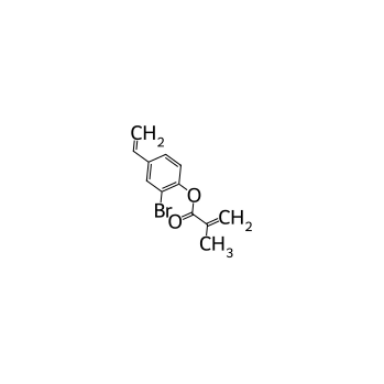 C=Cc1ccc(OC(=O)C(=C)C)c(Br)c1